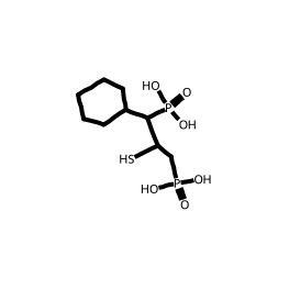 O=P(O)(O)CC(S)C(C1CCCCC1)P(=O)(O)O